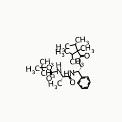 CC(C)C(C)(C(=O)OC[C@@H](NC(=O)[C@H](C)NC(=O)OC(C)(C)C)c1ccccc1)C(C)C